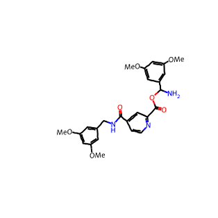 COc1cc(CNC(=O)c2ccnc(C(=O)OC(N)c3cc(OC)cc(OC)c3)c2)cc(OC)c1